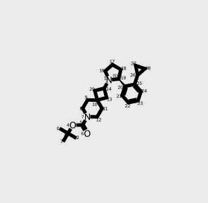 CC(C)(C)OC(=O)N1CCC2(CC1)CC(N1CCC[C@H]1c1ccccc1C1CC1)C2